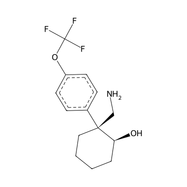 NC[C@]1(c2ccc(OC(F)(F)F)cc2)CCCC[C@@H]1O